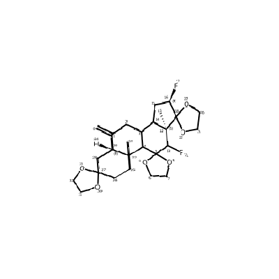 C=C1CC2C(C3(OCCO3)C(F)[C@@]3(C)C2C[C@@H](F)C32OCCO2)C2(C)CCC3(C[C@H]12)OCCO3